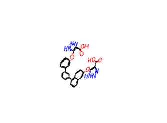 O=C(O)c1nn[nH]c1Oc1cccc(-c2cccc(-c3cccc4cc(Oc5[nH]nnc5C(=O)O)ccc34)c2)c1